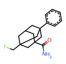 NC(=O)C12CC3CC(CF)(C1)CC(c1ccccc1)(C3)C2